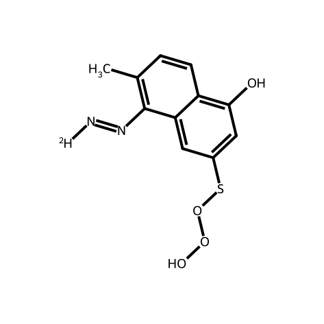 [2H]N=Nc1c(C)ccc2c(O)cc(SOOO)cc12